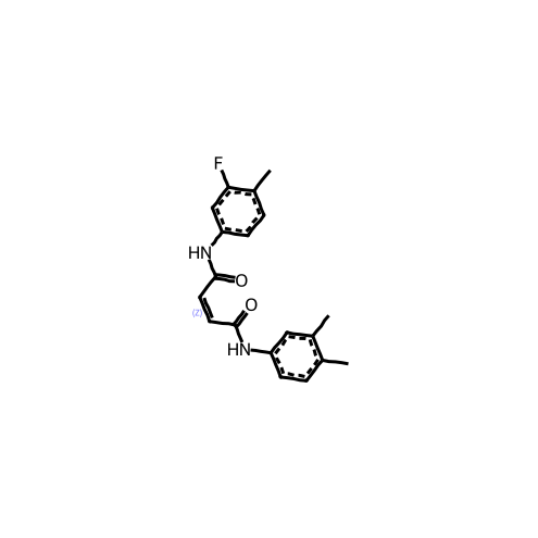 Cc1ccc(NC(=O)/C=C\C(=O)Nc2ccc(C)c(F)c2)cc1C